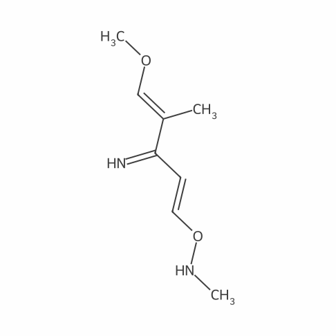 CNO/C=C/C(=N)/C(C)=C/OC